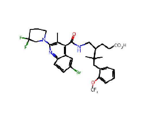 Cc1c(N2CCCC(F)(F)C2)nc2ccc(Br)cc2c1C(=O)NCC(CCC(=O)O)C(C)(C)Cc1ccccc1OC(F)(F)F